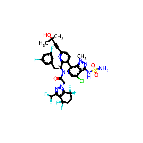 Cn1nc(NS(N)(=O)=O)c2c(Cl)ccc(-c3ccc(C#CC(C)(C)O)nc3[C@H](Cc3cc(F)cc(F)c3)NC(=O)Cn3nc(C(F)F)c4c3C(F)(F)CCC4(F)F)c21